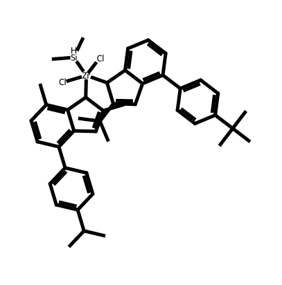 CC1=Cc2c(-c3ccc(C(C)C)cc3)ccc(C)c2[CH]1[Zr]([Cl])([Cl])([CH]1C(C(C)C)=Cc2c(-c3ccc(C(C)(C)C)cc3)cccc21)[SiH](C)C